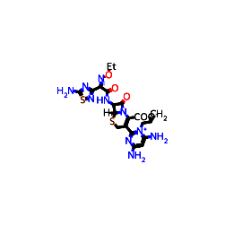 C=CC[n+]1c(N)cc(N)nc1C1=C(C(=O)[O-])N2C(=O)C(NC(=O)/C(=N\OCC)c3nsc(N)n3)[C@H]2SC1